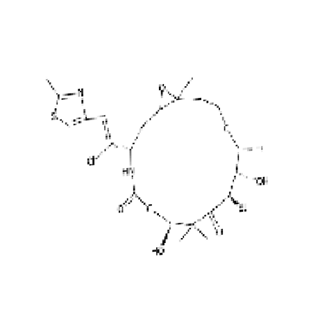 CC[C@H]1C(=O)C(C)(C)[C@@H](O)CC(=O)N[C@H](C(Cl)=Cc2csc(C)n2)CC2OC2(C)CCC[C@H](C)[C@@H]1O